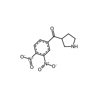 O=C(c1ccc([N+](=O)[O-])c([N+](=O)[O-])c1)C1CCNC1